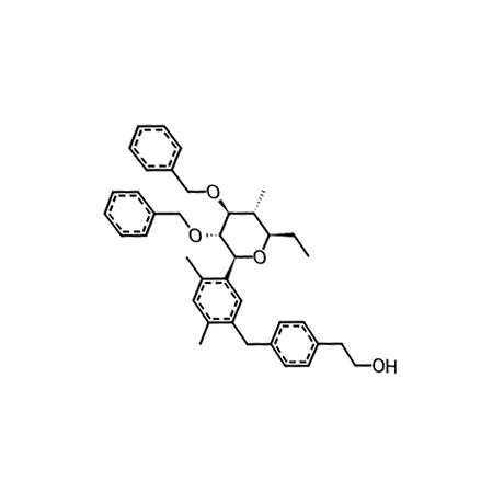 CC[C@H]1O[C@@H](c2cc(Cc3ccc(CCO)cc3)c(C)cc2C)[C@H](OCc2ccccc2)[C@@H](OCc2ccccc2)[C@@H]1C